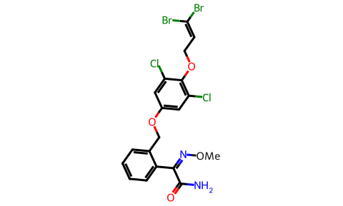 CON=C(C(N)=O)c1ccccc1COc1cc(Cl)c(OCC=C(Br)Br)c(Cl)c1